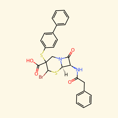 O=C(Cc1ccccc1)N[C@@H]1C(=O)N2CC(Sc3ccc(-c4ccccc4)cc3)(C(=O)O)C(Br)S[C@H]12